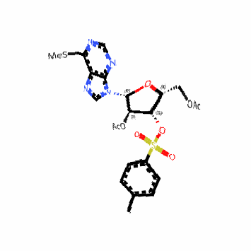 CSc1ncnc2c1ncn2[C@@H]1O[C@H](COC(C)=O)[C@H](OS(=O)(=O)c2ccc(C)cc2)[C@H]1OC(C)=O